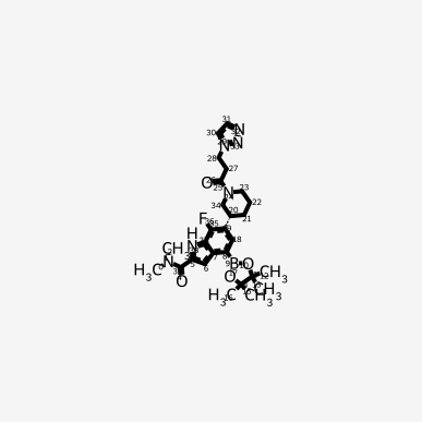 CN(C)C(=O)c1cc2c(B3OC(C)(C)C(C)(C)O3)cc([C@H]3CCCN(C(=O)CCn4ccnn4)C3)c(F)c2[nH]1